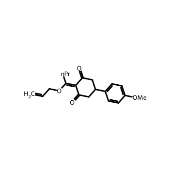 C=CCOC(CCC)=C1C(=O)CC(c2ccc(OC)cc2)CC1=O